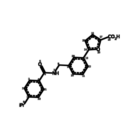 CC(C)c1ccc(C(=O)NCc2cccc(-c3ccc(C(=O)O)o3)c2)cc1